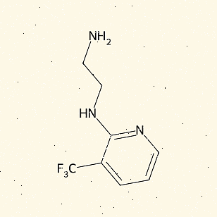 NCCNc1ncccc1C(F)(F)F